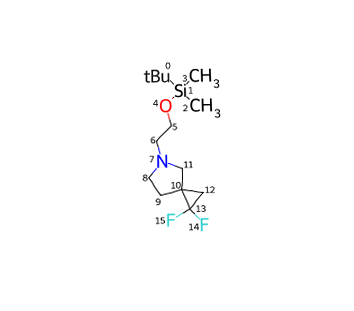 CC(C)(C)[Si](C)(C)OCCN1CCC2(C1)CC2(F)F